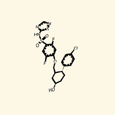 O=S(=O)(Nc1ncns1)c1cc(F)c(OCC2C[C@H](O)CC[C@H]2c2ccc(Cl)cc2)cc1F